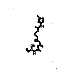 C=CC(O)N/C(C)=C/C(=C)CNC/N=C\N=C(/C)Nc1cnn(C)c1